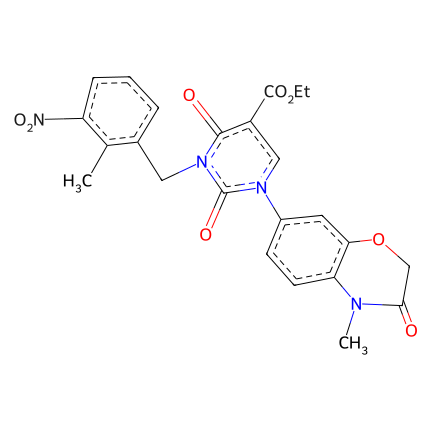 CCOC(=O)c1cn(-c2ccc3c(c2)OCC(=O)N3C)c(=O)n(Cc2cccc([N+](=O)[O-])c2C)c1=O